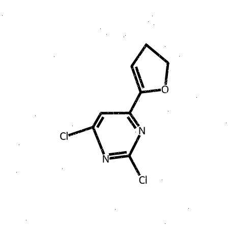 Clc1cc(C2=CCCO2)nc(Cl)n1